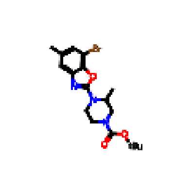 Cc1cc(Br)c2oc(N3CCN(C(=O)OC(C)(C)C)CC3C)nc2c1